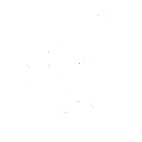 CC1C=C(CN(Cc2ccccn2)Cc2cc(CNC(=O)CCCCCN)cc(CN(Cc3ccccn3)Cc3ccccn3)c2O)N=CC1